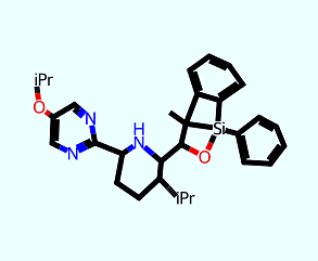 CC(C)Oc1cnc(C2CCC(C(C)C)C(C3O[Si]4(c5ccccc5)c5ccccc5C34C)N2)nc1